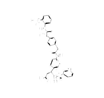 Cc1ccccc1NC(=O)Nc1ccc(CC(=O)Nc2ccc(C(CC(=O)O)NS(=O)(=O)c3cccnc3)cn2)cc1